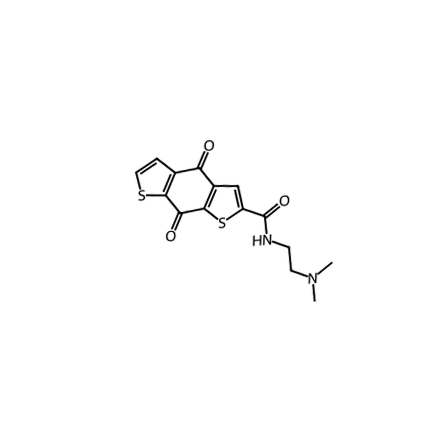 CN(C)CCNC(=O)c1cc2c(s1)C(=O)c1sccc1C2=O